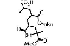 CCCCOC(=O)C(CC(C)C(=O)O)CC(CC(C)(CC)C(=O)OC)C(=O)CC